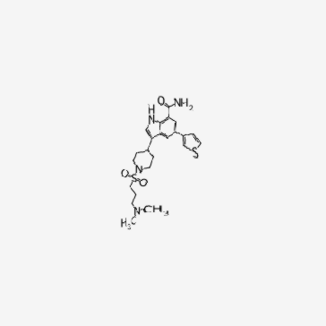 CN(C)CCCS(=O)(=O)N1CCC(c2c[nH]c3c(C(N)=O)cc(-c4ccsc4)cc23)CC1